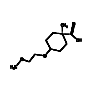 COCCOC1CCC(C)(C(=O)O)CC1